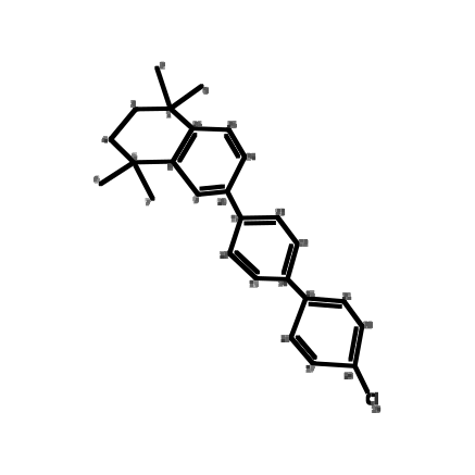 CC1(C)CCC(C)(C)c2cc(-c3ccc(-c4ccc(Cl)cc4)cc3)ccc21